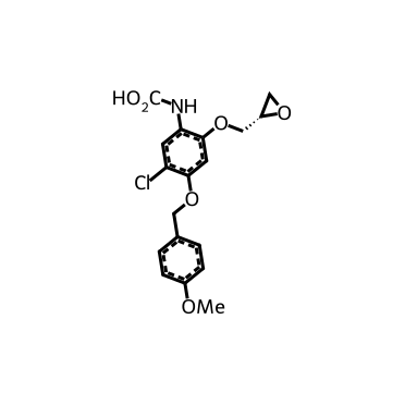 COc1ccc(COc2cc(OC[C@@H]3CO3)c(NC(=O)O)cc2Cl)cc1